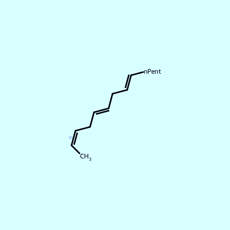 C/C=C\CC=CCC=CCCCCC